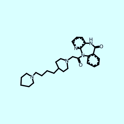 O=C1Nc2cccnc2N(C(=O)CN2CCC(CCCCN3CCCCC3)CC2)c2ccccc21